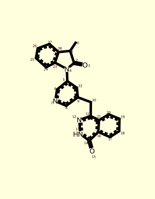 CC1C(=O)N(c2cncc(Cc3n[nH]c(=O)c4ccccc34)c2)c2ccccc21